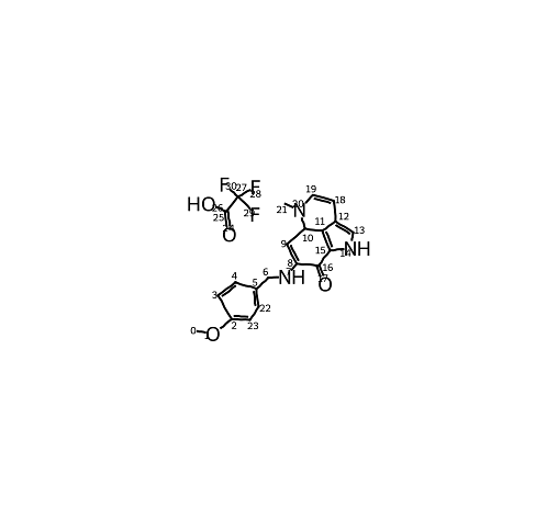 COc1ccc(CNC2=CC3c4c(c[nH]c4C2=O)C=CN3C)cc1.O=C(O)C(F)(F)F